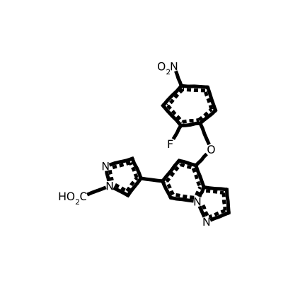 O=C(O)n1cc(-c2cc(Oc3ccc([N+](=O)[O-])cc3F)c3ccnn3c2)cn1